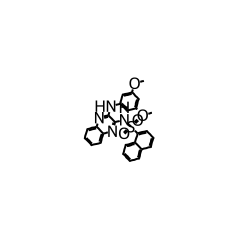 COc1cc(Nc2nc3ccccc3nc2NS(=O)(=O)c2cccc3ccccc23)cc(OC)c1